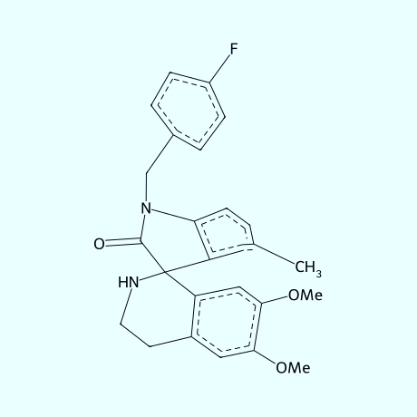 COc1cc2c(cc1OC)C1(NCC2)C(=O)N(Cc2ccc(F)cc2)c2ccc(C)cc21